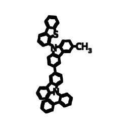 CC1C=c2c(n(-c3cccc4c3sc3ccccc34)c3ccc(-c4ccc5c(c4)c4ccccc4n5-c4ccccc4-c4ccccc4)cc23)=CC1